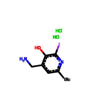 CC(C)(C)c1cc(CN)c(O)c(I)n1.Cl.Cl